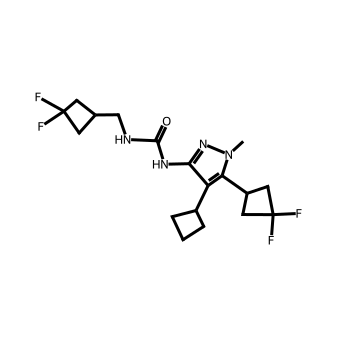 Cn1nc(NC(=O)NCC2CC(F)(F)C2)c(C2CCC2)c1C1CC(F)(F)C1